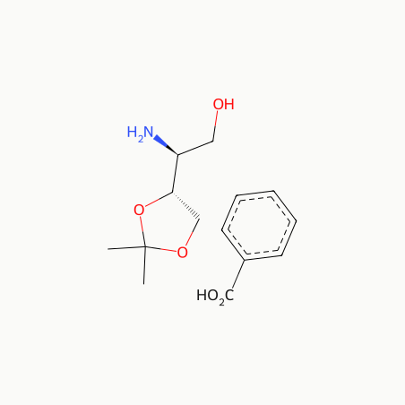 CC1(C)OC[C@@H]([C@@H](N)CO)O1.O=C(O)c1ccccc1